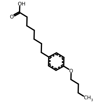 CCCCOc1ccc(CCCCCCC(=O)O)cc1